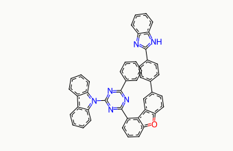 c1ccc(-c2nc(-c3cccc4oc5ccc(-c6ccc(-c7nc8ccccc8[nH]7)cc6)cc5c34)nc(-n3c4ccccc4c4ccccc43)n2)cc1